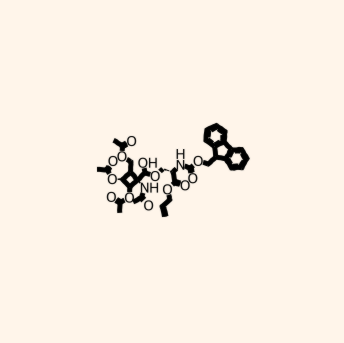 C=CCOC(=O)[C@H](COC(O)[C@]1(NC(C)=O)C(COC(C)=O)[C@@H](OC(C)=O)C1OC(C)=O)NC(=O)OCC1c2ccccc2-c2ccccc21